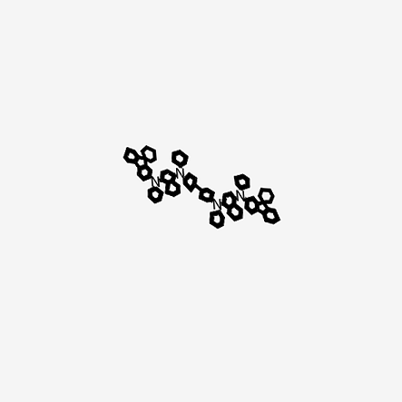 c1ccc(N(c2ccc(-c3ccc(N(c4ccccc4)c4ccc(N(c5ccccc5)c5ccc6c(c5)C5(CCCCC5)c5ccccc5-6)c5ccccc45)cc3)cc2)c2ccc(N(c3ccccc3)c3ccc4c(c3)C3(CCCCC3)c3ccccc3-4)c3ccccc23)cc1